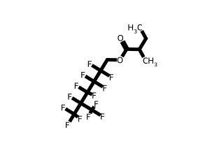 CCC(C)C(=O)OCC(F)(F)C(F)(F)C(F)(F)C(F)(C(F)(F)F)C(F)(F)F